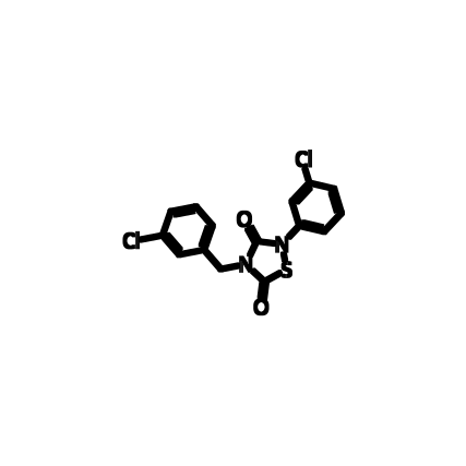 O=c1sn(-c2cccc(Cl)c2)c(=O)n1Cc1cccc(Cl)c1